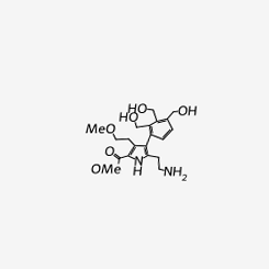 COCCc1c(C(=O)OC)[nH]c(CCN)c1-c1ccc(CO)c(CO)c1CO